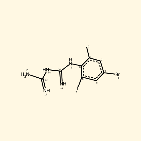 Cc1cc(Br)cc(I)c1NC(=N)NC(=N)N